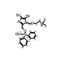 CC(C)(C)[Si](OCc1nc(Br)c(Br)n1COCC[Si](C)(C)C)(c1ccccc1)c1ccccc1